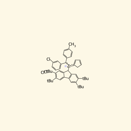 Cc1ccc(/[C](c2cccc(Cl)c2)=[Zr+2](\[C]2=CC=CC2)[CH]2c3cc(C(C)(C)C)c(C(C)(C)C)cc3-c3cc(C(C)(C)C)c(C(C)(C)C)cc32)cc1.[Cl-].[Cl-]